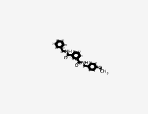 COc1ccc(CNC(=O)c2cccc(C(=O)NCc3ccccc3)c2)cc1